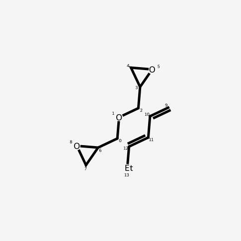 C(OCC1CO1)C1CO1.C=CC=CCC